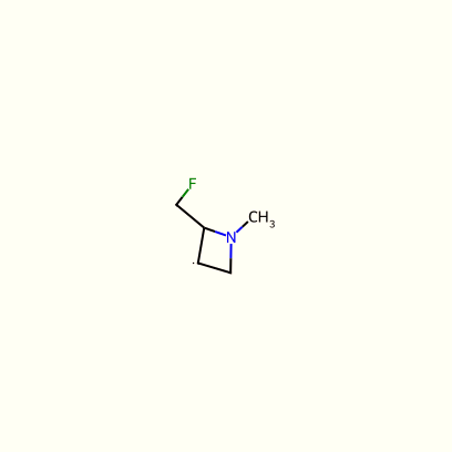 CN1C[CH]C1CF